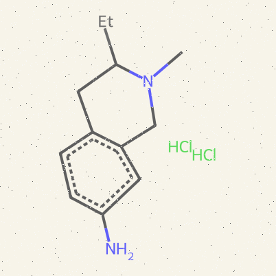 CCC1Cc2ccc(N)cc2CN1C.Cl.Cl